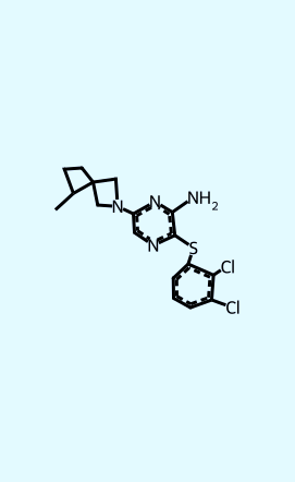 CC1CCC12CN(c1cnc(Sc3cccc(Cl)c3Cl)c(N)n1)C2